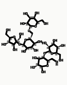 OC[C@H]1O[C@@H](O[C@H]2[C@H](O)[C@@H](O)[C@H](O)O[C@@H]2CO)[C@H](O)[C@@H](O)[C@@H]1O.OC[C@H]1O[C@H](OC[C@H]2O[C@H](O[C@]3(CO)O[C@H](CO)[C@@H](O)[C@@H]3O)[C@H](O)[C@@H](O)[C@@H]2O)[C@H](O)[C@@H](O)[C@H]1O